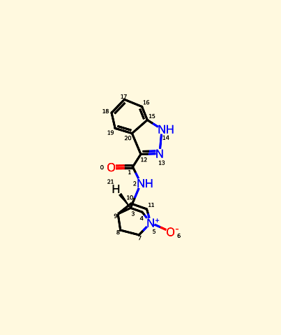 O=C(N[C@@H]1C[N+]2([O-])CCC1CC2)c1n[nH]c2ccccc12